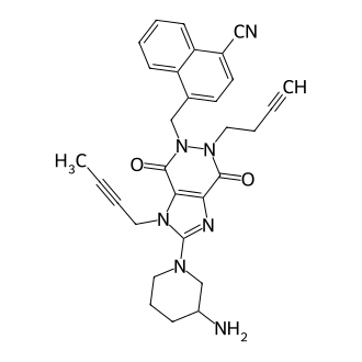 C#CCCn1c(=O)c2nc(N3CCCC(N)C3)n(CC#CC)c2c(=O)n1Cc1ccc(C#N)c2ccccc12